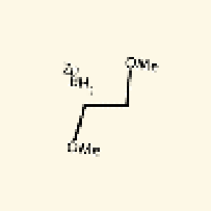 B.COCCOC.[Zn]